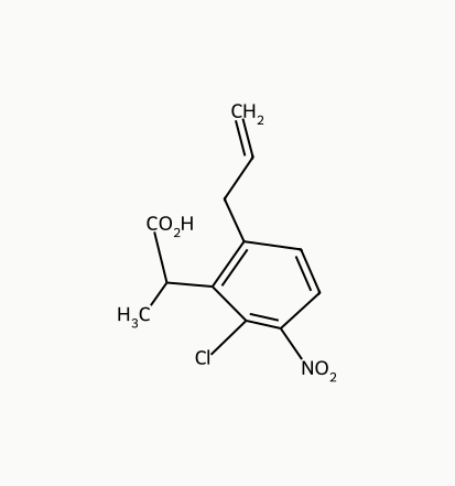 C=CCc1ccc([N+](=O)[O-])c(Cl)c1C(C)C(=O)O